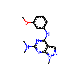 COc1cccc(Nc2nc(N(C)C)nc3c2cnn3C)c1